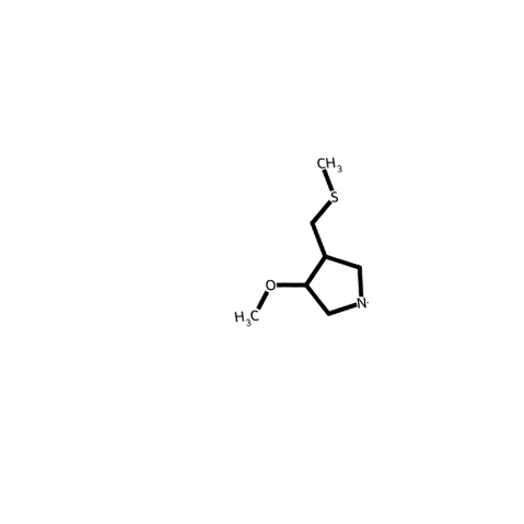 COC1C[N]CC1CSC